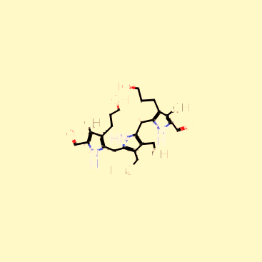 CCc1c(Cc2[nH]c(C=O)c(C)c2CCCO)[nH]c(Cc2[nH]c(C=O)c(C)c2CCCO)c1CC